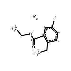 CCOC(=O)c1cc(F)ccc1CN.Cl